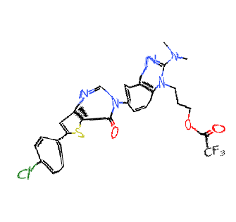 CN(C)c1nc2cc(-n3cnc4cc(-c5ccc(Cl)cc5)sc4c3=O)ccc2n1CCCOC(=O)C(F)(F)F